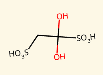 O=S(=O)(O)CC(O)(O)S(=O)(=O)O